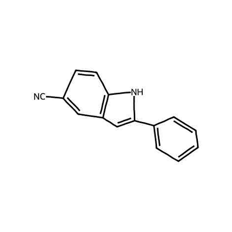 N#Cc1ccc2[nH]c(-c3ccccc3)cc2c1